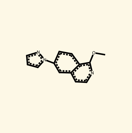 COc1nccc2cc(-n3cccn3)ccc12